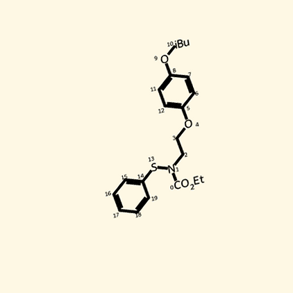 CCOC(=O)N(CCOc1ccc(OC(C)CC)cc1)Sc1ccccc1